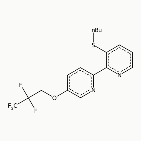 CCCCSc1cccnc1-c1ccc(OCC(F)(F)C(F)(F)F)cn1